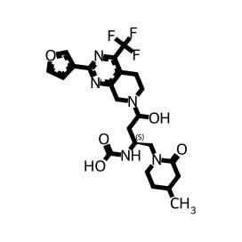 CC1CCN(C[C@H](CC(O)N2CCc3c(nc(-c4ccoc4)nc3C(F)(F)F)C2)NC(=O)O)C(=O)C1